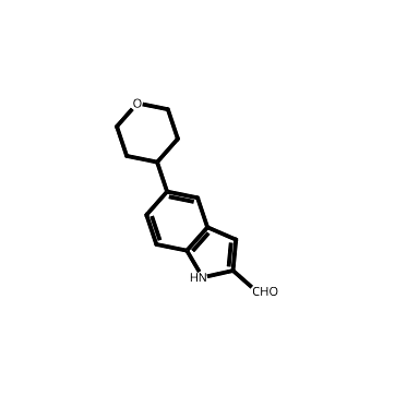 O=Cc1cc2cc(C3CCOCC3)ccc2[nH]1